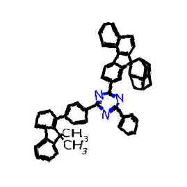 CC1(C)c2ccccc2-c2cccc(-c3ccc(-c4nc(-c5ccccc5)nc(-c5ccc6c(c5)C5(c7ccc8ccccc8c7-6)C6CC7CC(C6)CC5C7)n4)cc3)c21